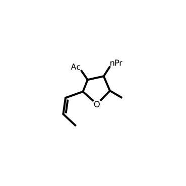 C/C=C\C1OC(C)C(CCC)C1C(C)=O